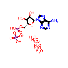 Nc1ncnc2c1ncn2[C@@H]1O[C@H](COP(=O)(O)OP(=O)(O)O)C(O)C1O.O.O.O.O.O.O